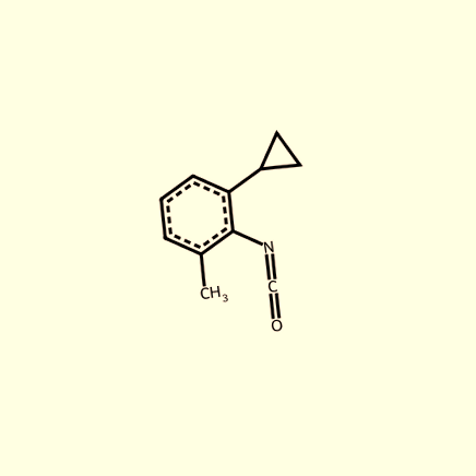 Cc1cccc(C2CC2)c1N=C=O